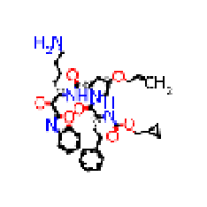 C=CCO[C@@H]1C[C@@H](C(=O)N[C@@H](CCCCN)C(=O)c2nc3ccccc3o2)N(C(=O)[C@@H](CCc2ccccc2)NC(=O)OCC2CC2)C1